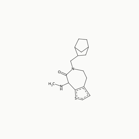 CNC1C(=O)N(CC2CC3CCC2C3)CCc2ccsc21